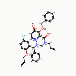 C=CCOc1ccc(F)cc1C(c1ccccc1)N1CN(CC=C)C(=O)c2c(OCc3ccccc3)c(=O)ccn21